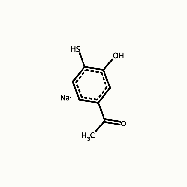 CC(=O)c1ccc(S)c(O)c1.[Na]